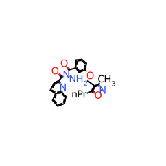 CCCc1onc(C)c1COc1cccc(C(=O)N(N)C(=O)c2ccc3ccccc3n2)c1